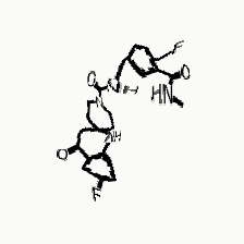 CNC(=O)c1cc(CNC(=O)N2CCC3(CC2)CC(=O)c2cc(F)ccc2N3)ccc1F